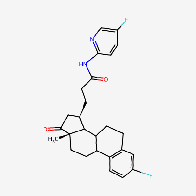 C[C@]12CCC3c4ccc(F)cc4CCC3C1[C@H](CCC(=O)Nc1ccc(F)cn1)CC2=O